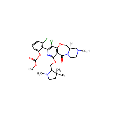 CN1CCC(C)(C)C1COc1nc(-c2c(F)cccc2OC(=O)OC(C)(C)C)c(Cl)c2c1C(=O)N1CCN(C(=O)O)C[C@@H]1CO2